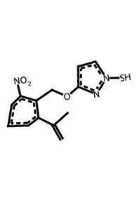 C=C(C)c1cccc([N+](=O)[O-])c1COc1ccn(S)n1